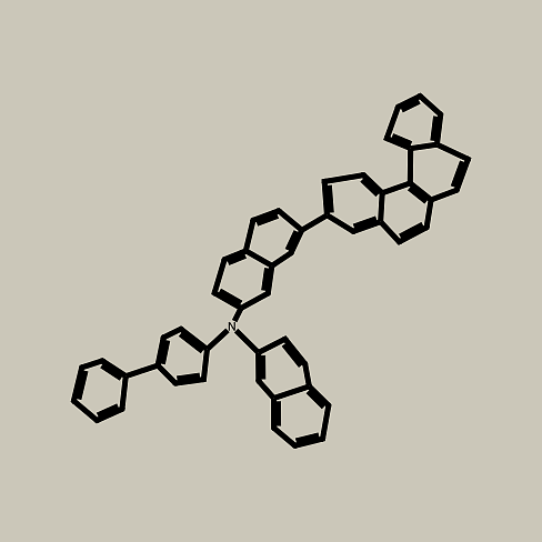 c1ccc(-c2ccc(N(c3ccc4ccccc4c3)c3ccc4ccc(-c5ccc6c(ccc7ccc8ccccc8c76)c5)cc4c3)cc2)cc1